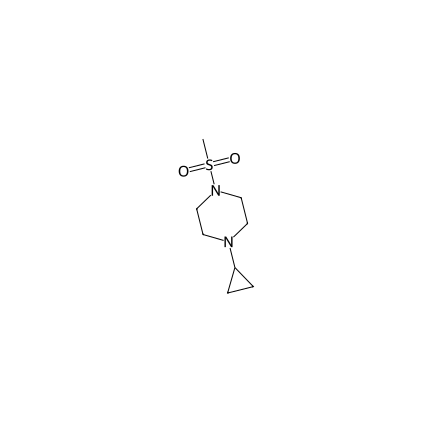 CS(=O)(=O)N1CCN(C2CC2)CC1